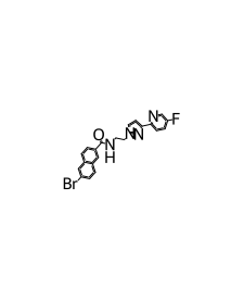 O=C(NCCn1ccc(-c2ccc(F)cn2)n1)c1ccc2cc(Br)ccc2c1